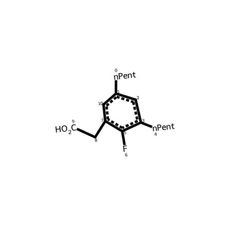 CCCCCc1cc(CCCCC)c(F)c(CC(=O)O)c1